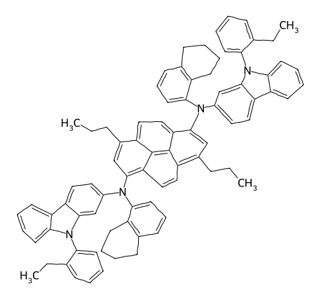 CCCc1cc(N(c2ccc3c4ccccc4n(-c4ccccc4CC)c3c2)c2cccc3c2CCCC3)c2ccc3c(CCC)cc(N(c4ccc5c6ccccc6n(-c6ccccc6CC)c5c4)c4cccc5c4CCCC5)c4ccc1c2c34